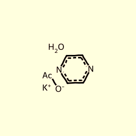 CC(=O)[O-].O.[K+].c1cnccn1